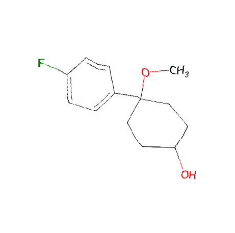 COC1(c2ccc(F)cc2)CCC(O)CC1